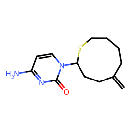 C=C1CCCCSC(n2ccc(N)nc2=O)CC1